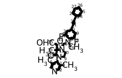 Cc1cncc(C)c1N1CCN(C(=O)N(C)c2c(F)cc(C#Cc3ccccc3)cc2F)C(C)(CC=O)C1=O